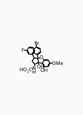 COc1cc(O)c2c(c1)OC1(c3ccc(Br)cc3)C(c3cccc(F)c3)CC(NC(=O)O)C21O